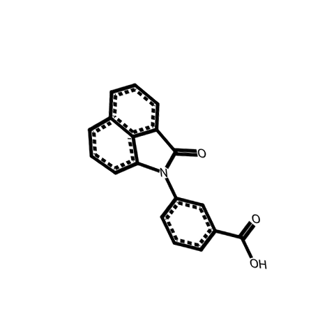 O=C(O)c1cccc(N2C(=O)c3cccc4cccc2c34)c1